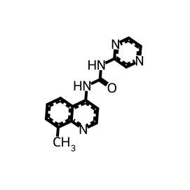 Cc1cccc2c(NC(=O)Nc3cnccn3)ccnc12